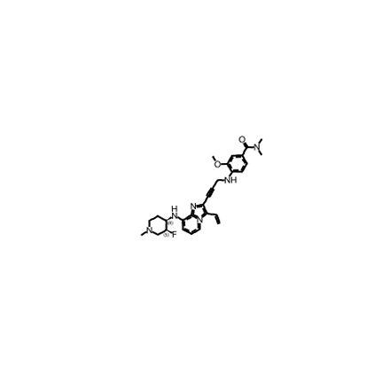 C=Cc1c(C#CCNc2ccc(C(=O)N(C)C)cc2OC)nc2c(N[C@@H]3CCN(C)C[C@@H]3F)cccn12